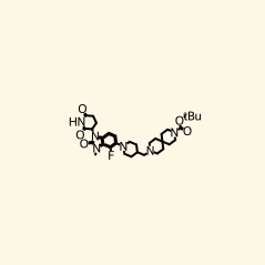 Cn1c(=O)n(C2CCC(=O)NC2=O)c2ccc(N3CCC(CN4CCC5(CC4)CCN(C(=O)OC(C)(C)C)CC5)CC3)c(F)c21